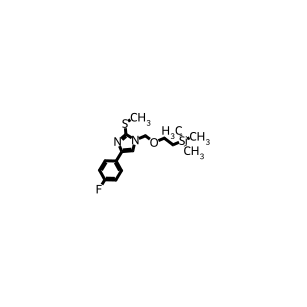 CSc1nc(-c2ccc(F)cc2)cn1COCC[Si](C)(C)C